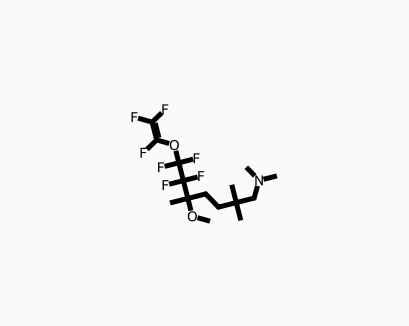 COC(C)(CCC(C)(C)CN(C)C)C(F)(F)C(F)(F)OC(F)=C(F)F